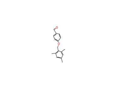 Cc1cc(C)c(COc2ccc(C=O)cc2)c(C)c1